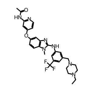 CCN1CCN(Cc2cc(Nc3nc4cc(Oc5ccnc(NC(C)=O)c5)ccc4n3C)cc(C(F)(F)F)c2)CC1